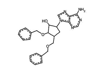 Nc1ncnc2c1ncn2C1CC(COCc2ccccc2)C(OCc2ccccc2)C1O